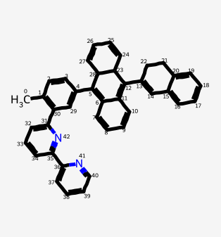 Cc1ccc(C2=c3ccccc3=C(C3=Cc4ccccc4CC3)C3C=CC=CC23)cc1-c1cccc(-c2ccccn2)n1